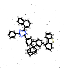 c1ccc(-c2nc(-c3ccc4c(c3)-c3ccc(-c5cccc6sc7ccccc7c56)cc3C43C4CC5CC(C4)CC3C5)nc(-c3cccc4ccccc34)n2)cc1